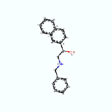 OC(CNCc1ccccc1)c1ccc2ccccc2c1